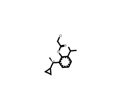 CC(C)c1cccc([C@H](C)C2CC2)c1OC(=O)CCl